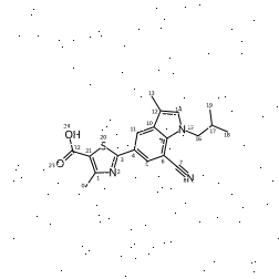 Cc1nc(-c2cc(C#N)c3c(c2)c(C)cn3CC(C)C)sc1C(=O)O